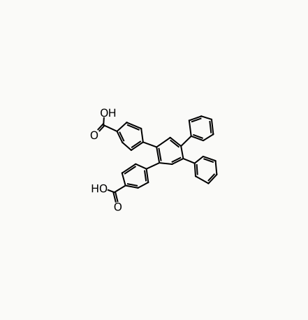 O=C(O)c1ccc(-c2cc(-c3ccccc3)c(-c3ccccc3)cc2-c2ccc(C(=O)O)cc2)cc1